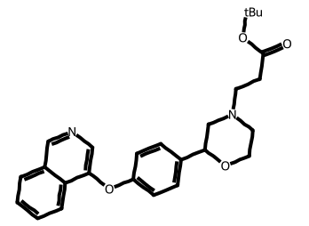 CC(C)(C)OC(=O)CCN1CCOC(c2ccc(Oc3cncc4ccccc34)cc2)C1